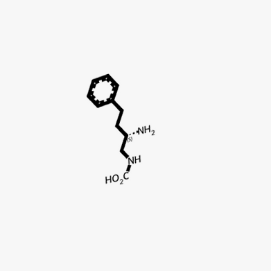 N[C@@H](CCc1ccccc1)CNC(=O)O